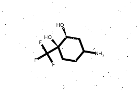 NC1CC[C@](O)(C(F)(F)F)[C@@H](O)C1